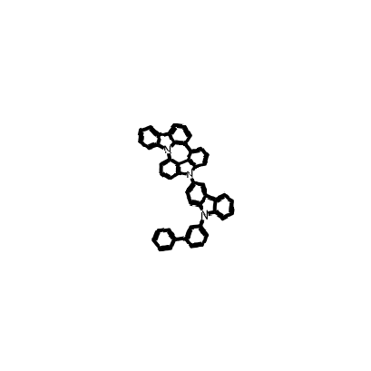 c1ccc(-c2cccc(-n3c4ccccc4c4cc(-n5c6cccc7c8cccc9c%10ccccc%10n(c%10cccc5c%10c76)c89)ccc43)c2)cc1